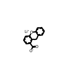 O=C([O-])c1cccc2c1Cc1ccccc1O2.[Li+]